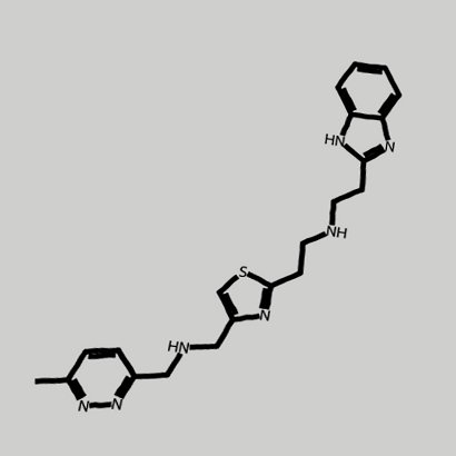 Cc1ccc(CNCc2csc(CCNCCc3nc4ccccc4[nH]3)n2)nn1